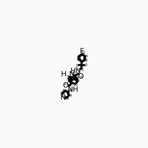 CC(C)(CNC(=O)C(N)C1C2CC3CC1C(C(=O)Nc1ccncc1)(C3)C2)c1ccc(F)cc1